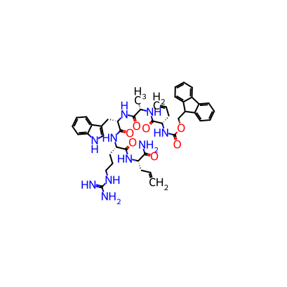 C=CC[C@H](NC(=O)[C@H](CCCNC(=N)N)NC(=O)[C@H](Cc1c[nH]c2ccccc12)NC(=O)[C@H](C)NC(=O)[C@H](CC=C)NC(=O)OCC1c2ccccc2-c2ccccc21)C(N)=O